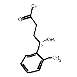 Cc1ccccc1[C@@H](O)CCC(=O)O